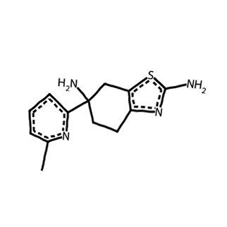 Cc1cccc(C2(N)CCc3nc(N)sc3C2)n1